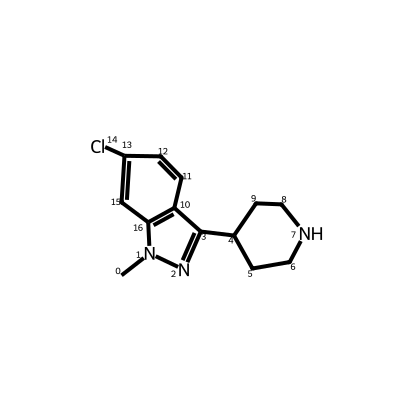 Cn1nc(C2CCNCC2)c2ccc(Cl)cc21